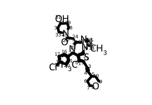 Cc1c(C#CC2CCOCC2)sc2c1C(c1ccc(Cl)cc1)=N[C@@H](CC(=O)N1CCC(O)CC1)c1nnc(C)n1-2